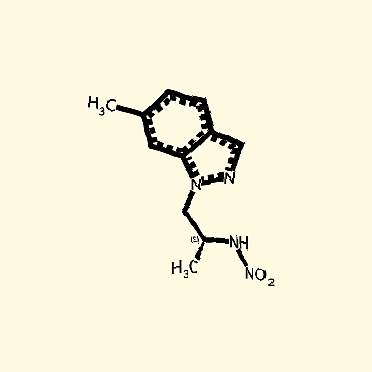 Cc1ccc2cnn(C[C@H](C)N[N+](=O)[O-])c2c1